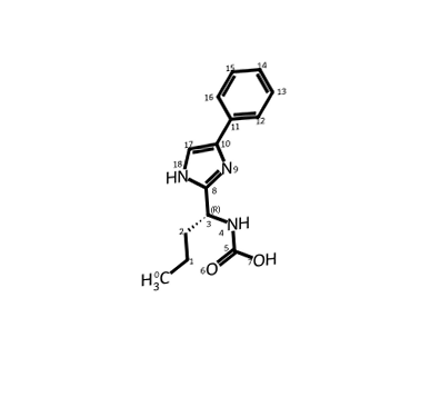 CCC[C@@H](NC(=O)O)c1nc(-c2ccccc2)c[nH]1